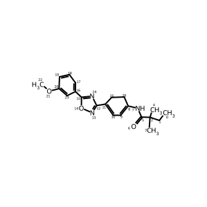 CCC(C)(C)C(=O)NC1=CC=C(c2noc(-c3cccc(OC)c3)n2)CC1